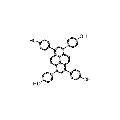 Oc1ccc(-c2cc(-c3ccc(O)cc3)c3ccc4c(-c5ccc(O)cc5)cc(-c5ccc(O)cc5)c5ccc2c3c54)cc1